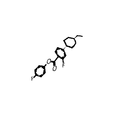 CC[C@H]1CC[C@H](c2ccc(C(=O)Oc3ccc(F)cc3)c(F)c2)CC1